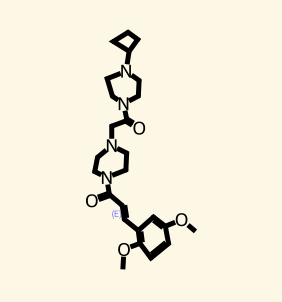 COc1ccc(OC)c(/C=C/C(=O)N2CCN(CC(=O)N3CCN(C4CCC4)CC3)CC2)c1